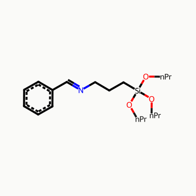 CCCO[Si](CCCN=Cc1ccccc1)(OCCC)OCCC